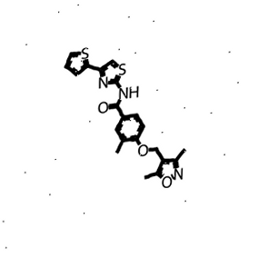 Cc1cc(C(=O)Nc2nc(-c3cccs3)cs2)ccc1OCc1c(C)noc1C